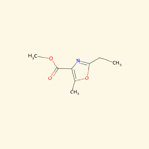 CCc1nc(C(=O)OC)c(C)o1